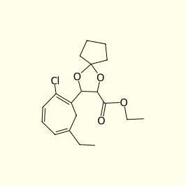 CCOC(=O)C1OC2(CCCC2)OC1C1=C(Cl)C=CC=C(CC)C1